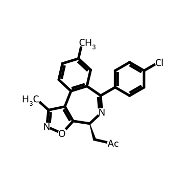 CC(=O)C[C@@H]1N=C(c2ccc(Cl)cc2)c2cc(C)ccc2-c2c(C)noc21